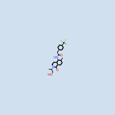 Cc1ccc2c(=O)n(C(C)CO)ccc2c1NC(=O)Cc1ccc(C(F)(F)F)cc1